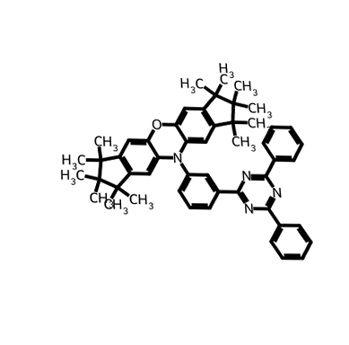 CC1(C)c2cc3c(cc2C(C)(C)C1(C)C)N(c1cccc(-c2nc(-c4ccccc4)nc(-c4ccccc4)n2)c1)c1cc2c(cc1O3)C(C)(C)C(C)(C)C2(C)C